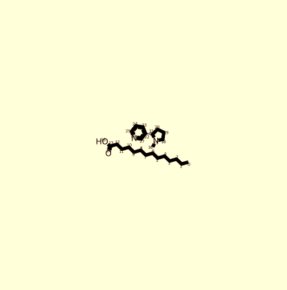 CCCCCCCCCCCCCC(=O)O.CN1CCC[C@H]1c1cccnc1